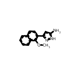 COc1c(-c2cc(N)[nH]n2)ccc2ccccc12